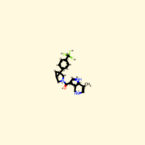 CC1=CNCc2c(C(=O)N3CC4CC4(c4ccc(C(F)(F)F)cc4)C3)c[nH]c21